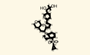 CC(C)(O)C(O)c1ccc(-c2ccc(C(CC3CCOCC3)n3ncc4c(S(=O)(=O)C5CC5)cccc43)[nH]2)nc1